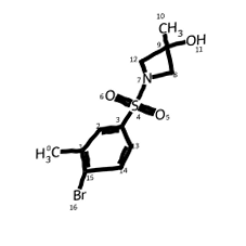 Cc1cc(S(=O)(=O)N2CC(C)(O)C2)ccc1Br